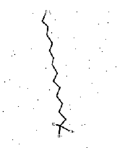 OC(O)(O)CCCCCCCCCCCCCCP